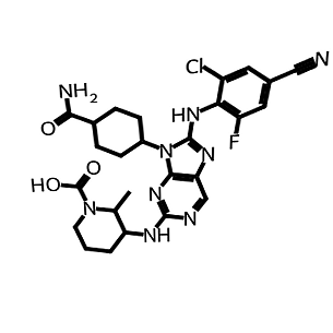 CC1C(Nc2ncc3nc(Nc4c(F)cc(C#N)cc4Cl)n(C4CCC(C(N)=O)CC4)c3n2)CCCN1C(=O)O